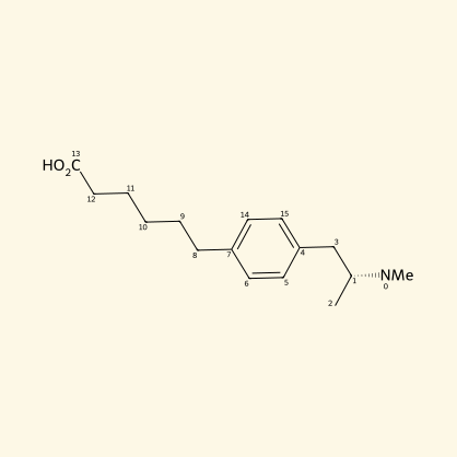 CN[C@H](C)Cc1ccc(CCCCCC(=O)O)cc1